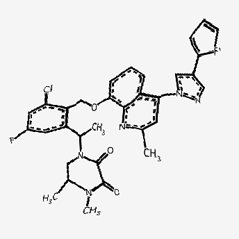 Cc1cc(-n2cc(C3=CC=C[F+]3)cn2)c2cccc(OCc3c(Cl)cc(F)cc3C(C)N3CC(C)N(C)C(=O)C3=O)c2n1